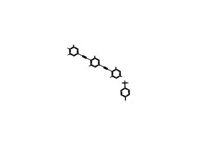 CCCCCc1ccc(C(F)(F)Oc2cc(F)c(C#Cc3cc(F)c(C#Cc4cc(F)c(F)c(F)c4)c(F)c3)c(F)c2)cc1